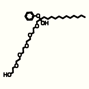 CCCCCCCCCCCCC(O)(COCCOCCOCCOCCOCCO)Oc1ccccc1